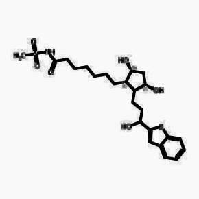 CS(=O)(=O)NC(=O)CCCCCC[C@@H]1C(CCC(O)c2cc3ccccc3s2)[C@H](O)C[C@@H]1O